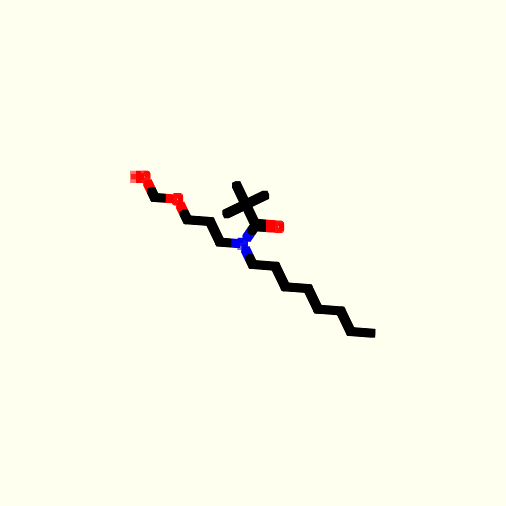 CCCCCCCCN(CCCOCO)C(=O)C(C)(C)C